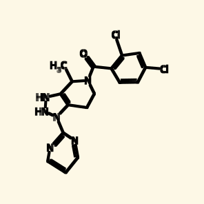 CC1C2=C(CCN1C(=O)c1ccc(Cl)cc1Cl)N(c1ncccn1)NN2